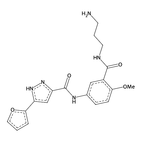 COc1ccc(NC(=O)c2cc(-c3ccco3)[nH]n2)cc1C(=O)NCCCN